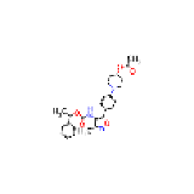 CC(=O)OC1CCN(c2ccc(-c3onc(C)c3NC(=O)OC(C)c3ccccc3)cc2)CC1